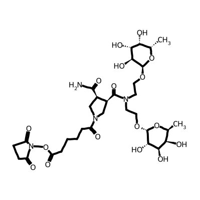 C[C@@H]1O[C@@H](OCCN(CCO[C@@H]2O[C@@H](C)[C@@H](O)[C@@H](O)[C@@H]2O)C(=O)[C@H]2CN(C(=O)CCCCC(=O)ON3C(=O)CCC3=O)C[C@H]2C(N)=O)[C@@H](O)[C@H](O)[C@@H]1O